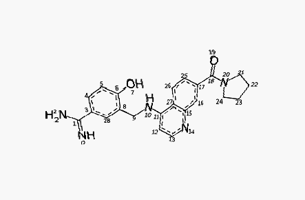 N=C(N)c1ccc(O)c(CNc2ccnc3cc(C(=O)N4CCCC4)ccc23)c1